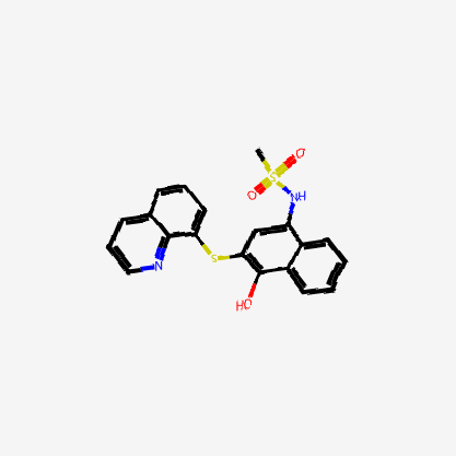 CS(=O)(=O)Nc1cc(Sc2cccc3cccnc23)c(O)c2ccccc12